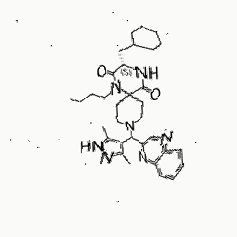 CCCCN1C(=O)[C@H](CC2CCCCC2)NC(=O)C12CCN(C(c1cnc3ccccc3n1)c1c(C)n[nH]c1C)CC2